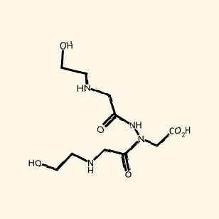 O=C(O)CN(NC(=O)CNCCO)C(=O)CNCCO